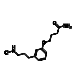 NC(=O)CCCOc1cccc(CCCNCl)c1